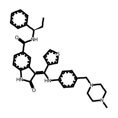 CC[C@@H](NC(=O)c1ccc2c(c1)/C(=C(/Nc1ccc(CN3CCN(C)CC3)cc1)c1ccsc1)C(=O)N2)c1ccccc1